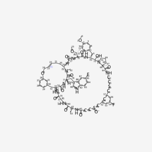 COc1ccc(C[C@@H]2NC(=O)[C@H]([C@@H](C)OC)NC(=O)[C@@H]3CC/C=C/COc4cccc(c4)C[C@H](NC(=O)[C@@H](C)NC(=O)[C@H](C)NC(=O)CC[S+]([O-])Cc4cc(F)cc(c4)CSCCNC(=O)[C@]4(C)CCCN4C2O)C(=O)N[C@@H](Cc2c[nH]c4ccc(F)cc24)C(=O)N3C)cc1